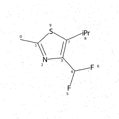 Cc1nc(C(F)F)c(C(C)C)s1